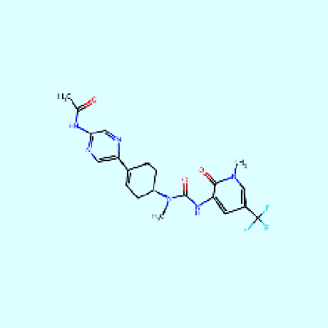 CC(=O)Nc1cnc(C2=CC[C@H](N(C)C(=O)Nc3cc(C(F)(F)F)cn(C)c3=O)CC2)cn1